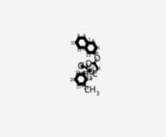 CCC(Oc1ccc2ccccc2c1)OS(=O)(=O)c1cccc(C)c1